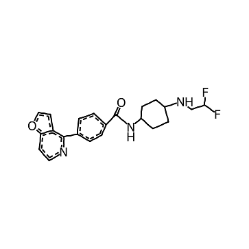 O=C(NC1CCC(NCC(F)F)CC1)c1ccc(-c2nccc3occc23)cc1